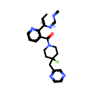 C=N/C=N\C(=C/C)c1ncccc1C(=O)N1CCC(F)(Cc2cnccn2)CC1